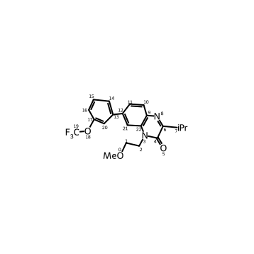 COCCn1c(=O)c(C(C)C)nc2ccc(-c3cccc(OC(F)(F)F)c3)cc21